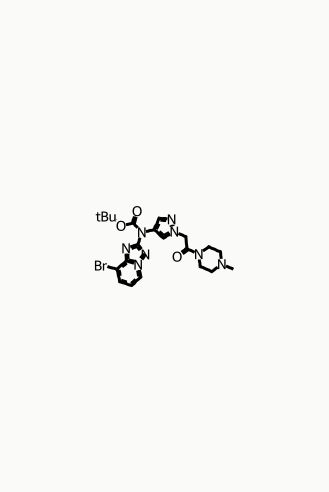 CN1CCN(C(=O)Cn2cc(N(C(=O)OC(C)(C)C)c3nc4c(Br)cccn4n3)cn2)CC1